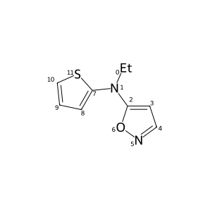 CCN(c1ccno1)c1cccs1